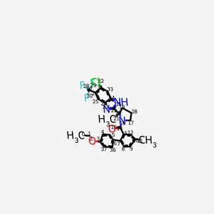 CCOc1ccc(-c2ccc(C)cc2C(=O)N2CCCC2(C)c2nc3cc(C(F)(F)F)c(Cl)cc3[nH]2)cc1